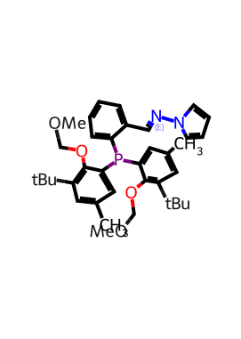 COCOc1c(P(c2ccccc2/C=N/n2cccc2)c2cc(C)cc(C(C)(C)C)c2OCOC)cc(C)cc1C(C)(C)C